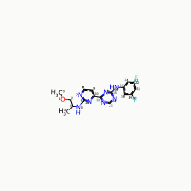 COC[C@H](C)Nc1nccc(-c2ncnc(Nc3cc(F)cc(F)c3)n2)n1